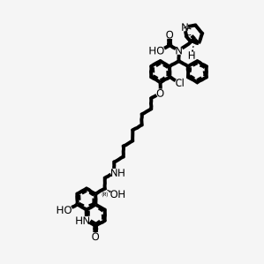 O=C(O)N(C(c1ccccc1)c1cccc(OCCCCCCCCCNC[C@H](O)c2ccc(O)c3[nH]c(=O)ccc23)c1Cl)[C@H]1CN2CCC1CC2